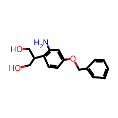 Nc1cc(OCc2ccccc2)ccc1C(CO)CO